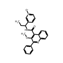 CCC(NC(=O)c1c(OC)c(-c2ccccc2)nc2ccccc12)c1ccc[n+]([O-])c1